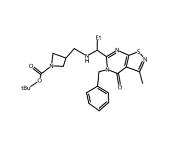 CCC(NCC1CN(C(=O)OC(C)(C)C)C1)c1nc2snc(C)c2c(=O)n1Cc1ccccc1